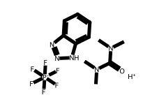 CN(C)C(=O)N(C)C.F[P-](F)(F)(F)(F)F.[H+].c1ccc2[nH]nnc2c1